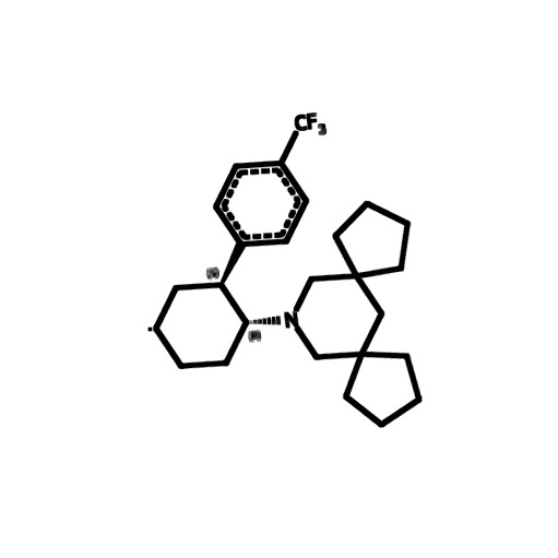 FC(F)(F)c1ccc([C@@H]2C[CH]CC[C@H]2N2CC3(CCCC3)CC3(CCCC3)C2)cc1